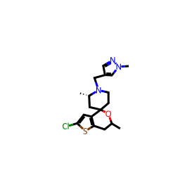 CC1Cc2sc(Cl)cc2C2(CCN(Cc3cnn(C)c3)[C@@H](C)C2)O1